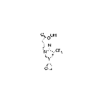 O=C(Cc1cn2cc(-c3ccoc3)cc(C(F)(F)F)c2n1)OO